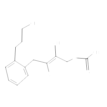 CC(=O)OC/C(C)=C(\C)Cc1ccccc1CCCO